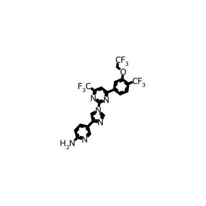 Nc1ccc(-c2cn(-c3nc(-c4ccc(C(F)(F)F)c(OCC(F)(F)F)c4)cc(C(F)(F)F)n3)cn2)cn1